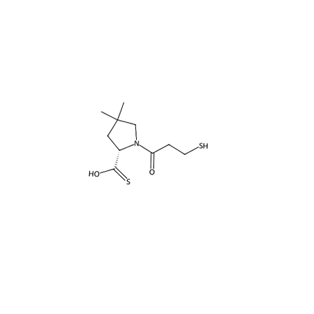 CC1(C)C[C@@H](C(O)=S)N(C(=O)CCS)C1